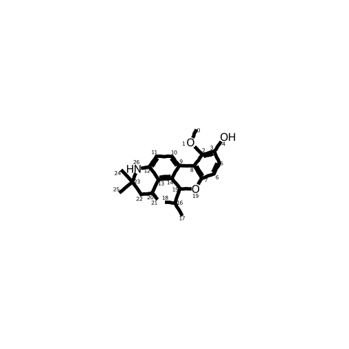 COc1c(O)ccc2c1-c1ccc3c(c1C(C(C)C)O2)C(C)CC(C)(C)N3